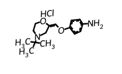 CC(C)(C)N1CCOC(=COc2ccc(N)cc2)C1.Cl